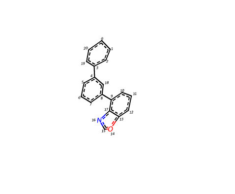 c1ccc(-c2cccc(-c3cccc4ocnc34)c2)cc1